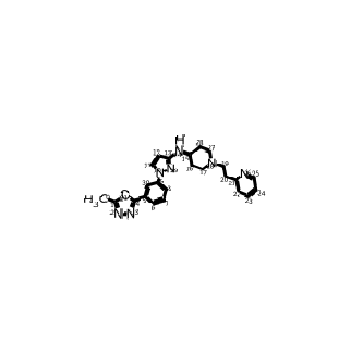 Cc1nnc(-c2cccc(-n3ccc(NC4CCN(CCc5ccccn5)CC4)n3)c2)o1